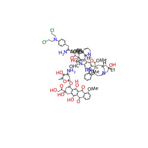 CC[C@]1(O)C[C@H]2C[N@](CCc3c([nH]c4ccccc34)[C@@](C(=O)OC)(c3cc4c(cc3OC)N(C=O)[C@H]3[C@@](O)(C(=O)OC)[C@H](OC(C)=O)[C@]5(CC)C=CCN6CC[C@]43[C@@H]65)C2)C1.COc1cccc2c1C(=O)c1c(O)c3c(c(O)c1C2=O)C[C@@](O)(C(=O)CO)C[C@@H]3O[C@H]1C[C@H](N)[C@H](O)[C@H](C)O1.N[C@@H](Cc1ccc(N(CCCl)CCCl)cc1)C(=O)O